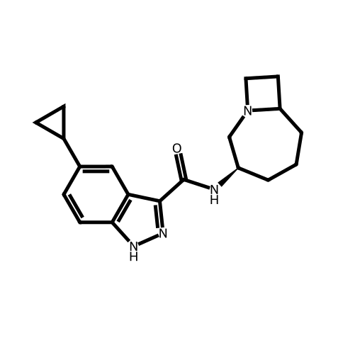 O=C(N[C@@H]1CCCC2CCN2C1)c1n[nH]c2ccc(C3CC3)cc12